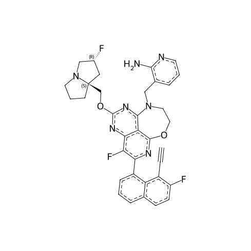 C#Cc1c(F)ccc2cccc(-c3nc4c5c(nc(OC[C@@]67CCCN6C[C@H](F)C7)nc5c3F)N(Cc3cccnc3N)CCO4)c12